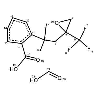 CC(C)(CC1(C(F)(F)F)CO1)c1ccccc1C(=O)O.O=CO